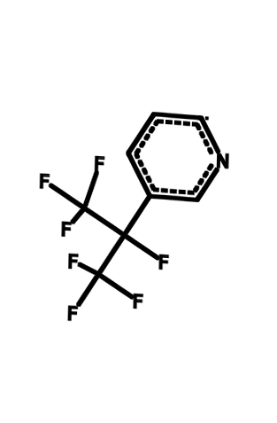 FC(F)(F)C(F)(c1cc[c]nc1)C(F)(F)F